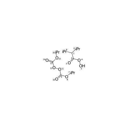 CC(C)C(C(=O)OO)C(C)C.CC(C)OC(=O)OOC(=O)OC(C)C